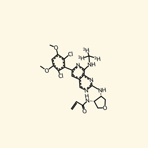 [2H]C([2H])([2H])Nc1nc(-c2c(Cl)c(OC)cc(OC)c2Cl)cc2cnc(N[C@@H]3COC[C@@H]3NC(=O)C=C)nc12